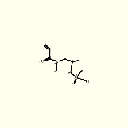 C=CC(=O)N(C)CC(C)C[Si](C)(C)Cl